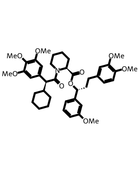 COc1cccc([C@@H](CCc2ccc(OC)c(OC)c2)OC(=O)[C@@H]2CCCCN2C(=O)[C@H](c2cc(OC)c(OC)c(OC)c2)C2CCCCC2)c1